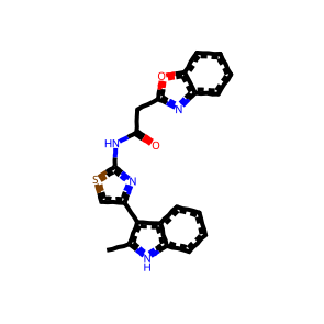 Cc1[nH]c2ccccc2c1-c1csc(NC(=O)Cc2nc3ccccc3o2)n1